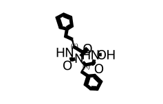 O=C(NO)[C@@H](Cc1ccccc1)N1C(=O)N[C@@H](CCc2ccccc2)C1=O